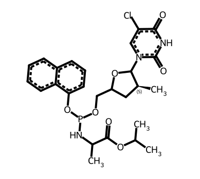 CC(C)OC(=O)C(C)NP(OCC1C[C@H](C)C(n2cc(Cl)c(=O)[nH]c2=O)O1)Oc1cccc2ccccc12